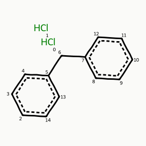 Cl.Cl.c1ccc(Cc2ccccc2)cc1